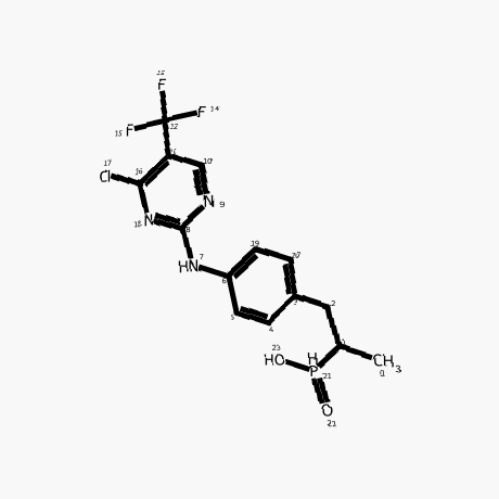 CC(Cc1ccc(Nc2ncc(C(F)(F)F)c(Cl)n2)cc1)[PH](=O)O